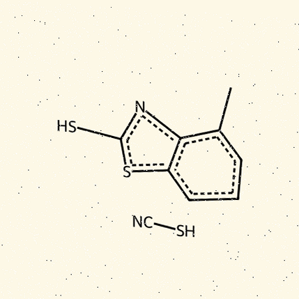 Cc1cccc2sc(S)nc12.N#CS